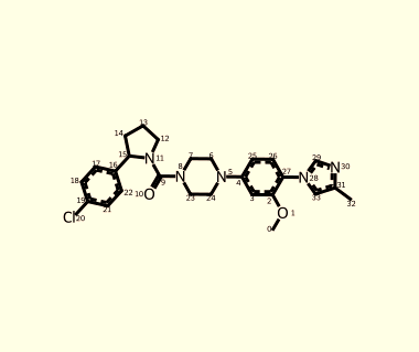 COc1cc(N2CCN(C(=O)N3CCCC3c3ccc(Cl)cc3)CC2)ccc1-n1cnc(C)c1